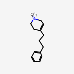 CN1CC=C(CCCc2ccccc2)CC1